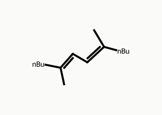 CCCCC(C)=CC=C(C)CCCC